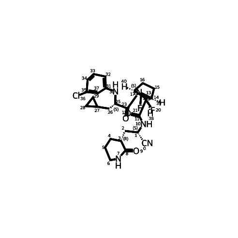 N#C[C@H](C[C@H]1CCCNC1=O)NC(=O)[C@@H]1[C@@H]2CC[C@@H](CC2(F)F)N1C(=O)[C@H](CC1CC1)Nc1cccc(Cl)c1